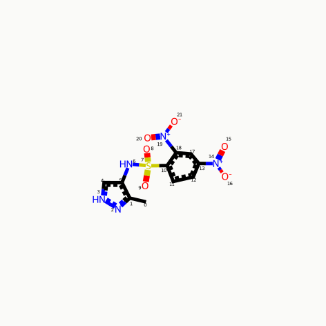 Cc1n[nH]cc1NS(=O)(=O)c1ccc([N+](=O)[O-])cc1[N+](=O)[O-]